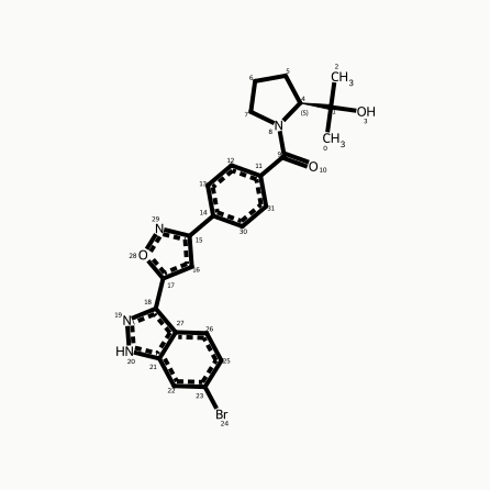 CC(C)(O)[C@@H]1CCCN1C(=O)c1ccc(-c2cc(-c3n[nH]c4cc(Br)ccc34)on2)cc1